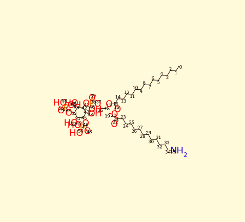 CCCCCCCCCCCCCCCC(=O)O[C@H](COC(=O)CCCCCCCCCCCCN)COP(=O)(O)OC1C(O)[C@@H](OP(=O)(O)O)C(O)[C@@H](OP(=O)(O)O)[C@H]1O